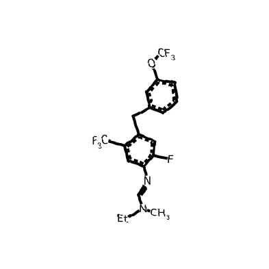 CCN(C)C=Nc1cc(C(F)(F)F)c(Cc2cccc(OC(F)(F)F)c2)cc1F